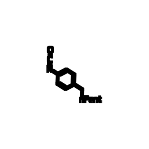 CCCCCCc1ccc(N=C=O)cc1